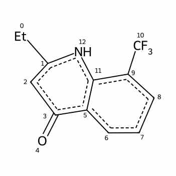 CCc1cc(=O)c2cccc(C(F)(F)F)c2[nH]1